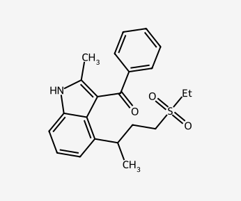 CCS(=O)(=O)CCC(C)c1cccc2[nH]c(C)c(C(=O)c3ccccc3)c12